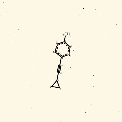 Cc1cnc(C#CC2CC2)cn1